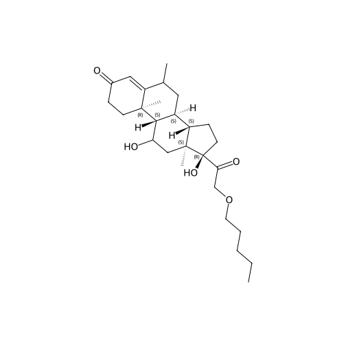 CCCCCOCC(=O)[C@@]1(O)CC[C@H]2[C@@H]3CC(C)C4=CC(=O)CC[C@]4(C)[C@H]3C(O)C[C@@]21C